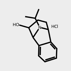 CC(C)N1C2CCC(O)C1c1ccccc12.Cl